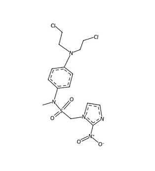 CN(c1ccc(N(CCCl)CCCl)cc1)S(=O)(=O)Cn1ccnc1[N+](=O)[O-]